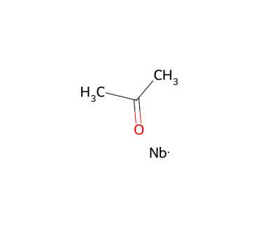 CC(C)=O.[Nb]